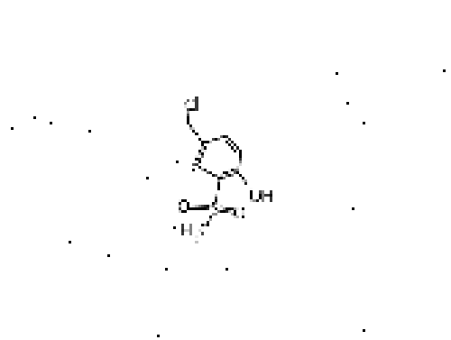 CS(=O)(=O)c1cc(CCl)ccc1O